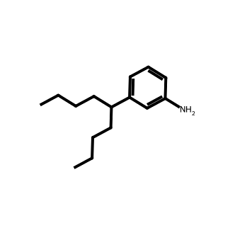 CCCCC(CCCC)c1cccc(N)c1